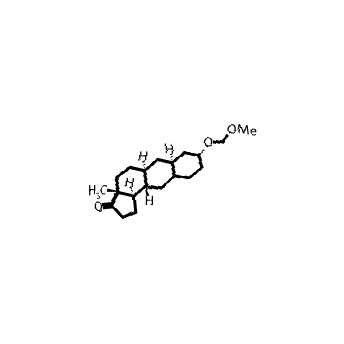 COCO[C@@H]1CCC2C[C@H]3[C@@H](CC[C@@]4(C)C(=O)CC[C@H]34)C[C@H]2C1